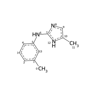 Cc1cccc(Nc2ncc(C)[nH]2)c1